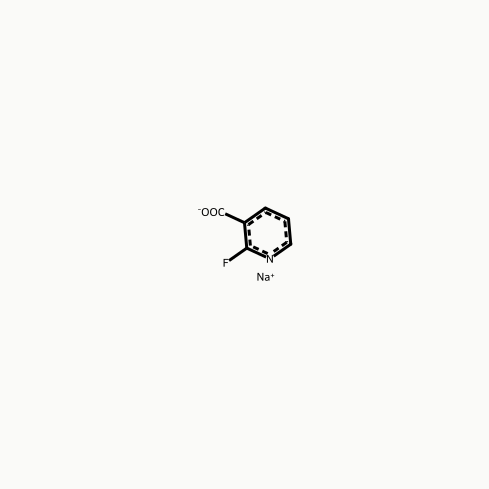 O=C([O-])c1cccnc1F.[Na+]